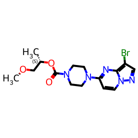 COC[C@H](C)OC(=O)N1CCN(c2ccn3ncc(Br)c3n2)CC1